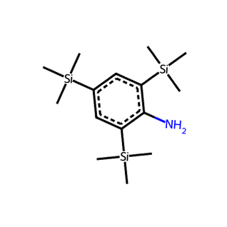 C[Si](C)(C)c1cc([Si](C)(C)C)c(N)c([Si](C)(C)C)c1